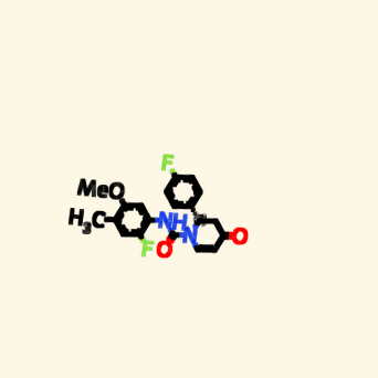 COc1cc(NC(=O)N2C=CC(=O)C[C@H]2c2ccc(F)cc2)c(F)cc1C